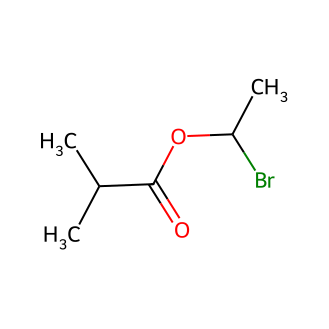 CC(Br)OC(=O)C(C)C